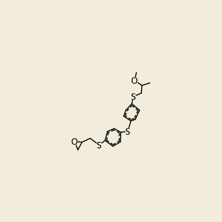 COC(C)CSc1ccc(Sc2ccc(SCC3CO3)cc2)cc1